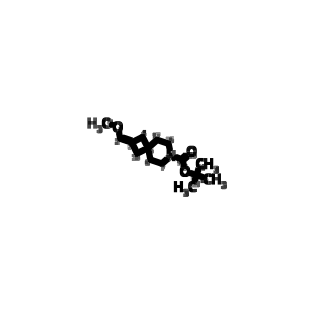 COC=C1CC2(CCN(C(=O)OC(C)(C)C)CC2)C1